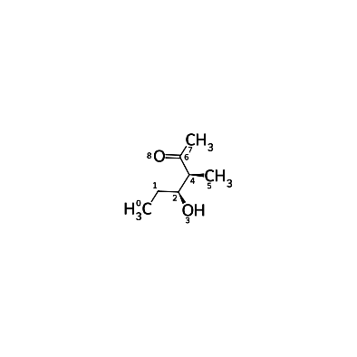 CC[C@H](O)[C@H](C)C(C)=O